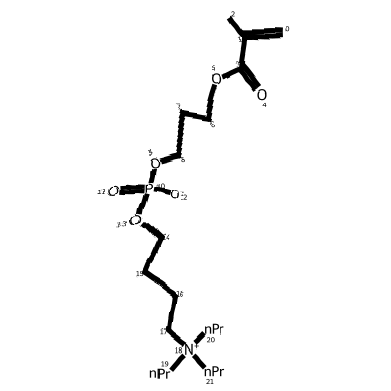 C=C(C)C(=O)OCCCOP(=O)([O-])OCCCC[N+](CCC)(CCC)CCC